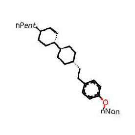 CCCCCCCCCOc1ccc(CC[C@H]2CC[C@H]([C@H]3CC[C@H](CCCCC)CC3)CC2)cc1